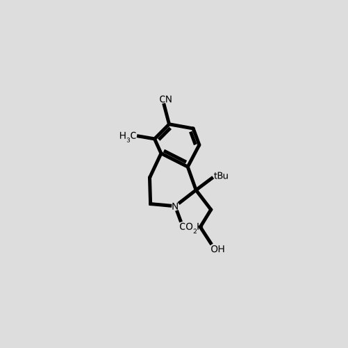 Cc1c(C#N)ccc2c1CCN(C(=O)O)C2(CCO)C(C)(C)C